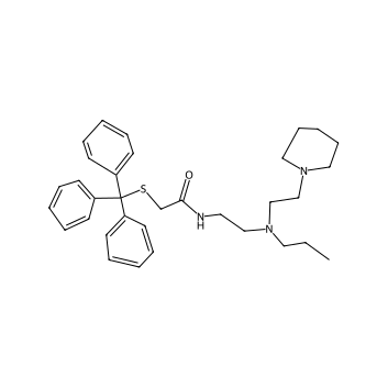 CCCN(CCNC(=O)CSC(c1ccccc1)(c1ccccc1)c1ccccc1)CCN1CCCCC1